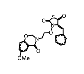 COc1ccc2c(c1)C(=O)N(CCON1C(=O)SC(=O)C1=Cc1ccccc1)CO2